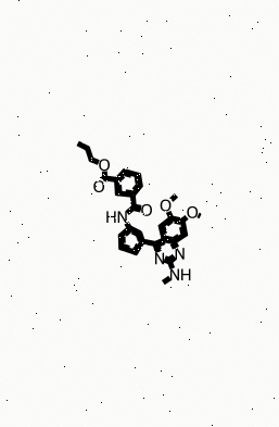 CCCOC(=O)c1cccc(C(=O)Nc2cccc(-c3nc(NC)nc4cc(OC)c(OC)cc34)c2)c1